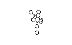 c1ccc(-c2ccc(N(c3ccccc3)c3cccc4c3c3c(-c5ccccc5)cc5ccccc5c3n4-c3ccccc3)cc2)cc1